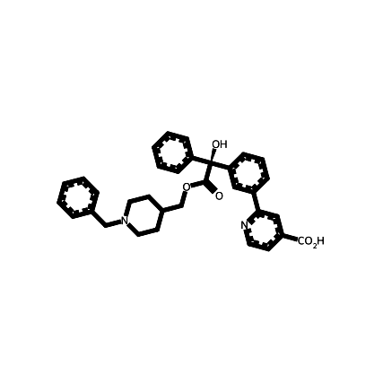 O=C(O)c1ccnc(-c2cccc([C@](O)(C(=O)OCC3CCN(Cc4ccccc4)CC3)c3ccccc3)c2)c1